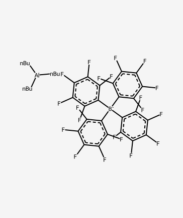 CCC[CH2][Al]([CH2]CCC)[CH2]CCC.Fc1c(F)c(F)c([B-](c2c(F)c(F)c(F)c(F)c2F)(c2c(F)c(F)c(F)c(F)c2F)c2c(F)c(F)c(F)c(F)c2F)c(F)c1F